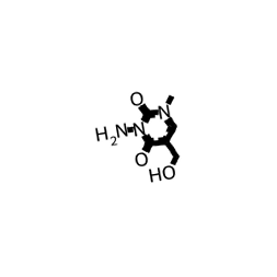 Cn1cc(CO)c(=O)n(N)c1=O